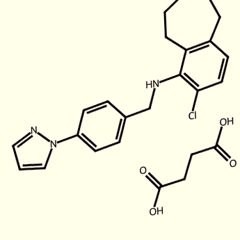 Clc1ccc2c(c1NCc1ccc(-n3cccn3)cc1)CCNCC2.O=C(O)CCC(=O)O